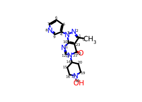 Cc1nn(-c2cccnc2)c2ncn(C3CCN(O)CC3)c(=O)c12